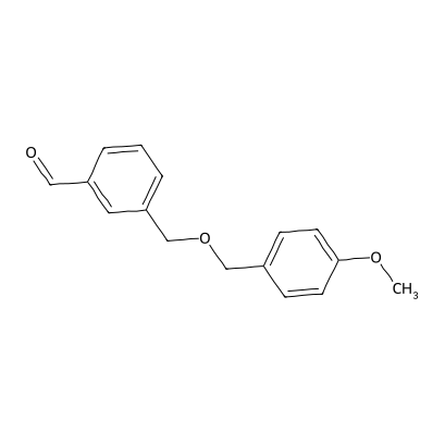 COc1ccc(COCc2cccc(C=O)c2)cc1